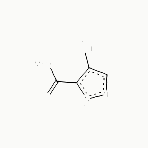 COC(=O)c1n[nH]cc1O